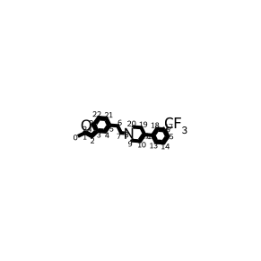 Cc1cc2cc(CCN3CC=C(c4cccc(C(F)(F)F)c4)CC3)ccc2o1